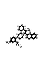 COc1cc(O)ccc1N1CCN(C(C(=O)C2CCCCC2)C2CCc3ccccc3N2)CC1